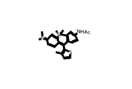 CC(=O)Nc1ccc2c(c1)[Si](C)(C)C1=CC(=[N+](C)C)C=CC1=C2c1sccc1C